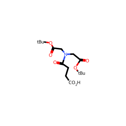 CC(C)(C)OC(=O)CN(CC(=O)OC(C)(C)C)C(=O)CCC(=O)O